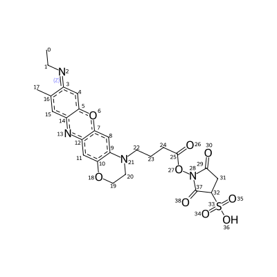 CC/N=c1/cc2oc3cc4c(cc3nc-2cc1C)OCCN4CCCC(=O)ON1C(=O)CC(S(=O)(=O)O)C1=O